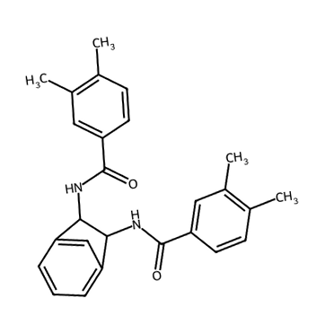 Cc1ccc(C(=O)NC2c3cccc(c3)C2NC(=O)c2ccc(C)c(C)c2)cc1C